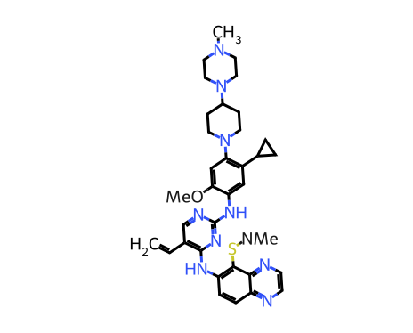 C=Cc1cnc(Nc2cc(C3CC3)c(N3CCC(N4CCN(C)CC4)CC3)cc2OC)nc1Nc1ccc2nccnc2c1SNC